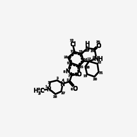 CN1CCN(C(=O)c2nc3cc(Cl)c4c(c3o2)C2(CCCCC2)NC(=O)N4)CC1